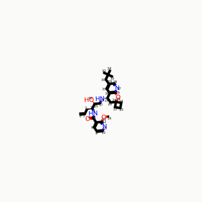 C=CC[C@H](NC(=O)c1cccnc1OC)[C@H](O)CN[C@H]1CC2(CCC2)Oc2ncc(CC(C)(C)C)cc21